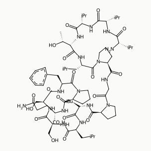 CC[C@H](C)[C@H](NC(=O)[C@@H]1CCCN1C(=O)CNC(=O)[C@@H]1CCCN1C(=O)[C@H](CC(C)C)NC(=O)[C@@H](NC(=O)[C@@H](NC(=O)[C@@H](NC(=O)[C@@H](N)C(C)C)C(C)C)C(C)C)[C@@H](C)O)C(=O)N[C@@H](CC(C)C)C(=O)N[C@@H](CO)C(=O)N[C@@H](CO)C(=O)N[C@@H](Cc1ccccc1)C(=O)N1CCC[C@H]1C(=O)N[C@@H](CCC(N)=O)C(=O)O